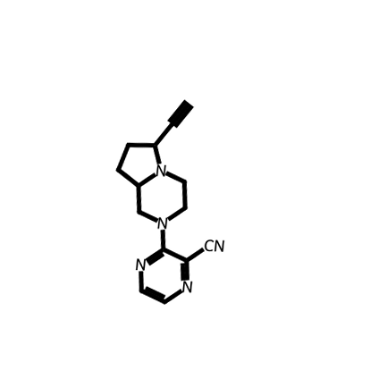 C#CC1CCC2CN(c3nccnc3C#N)CCN12